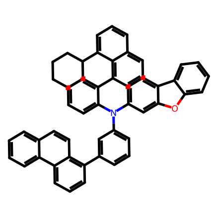 c1cc(-c2cccc3c2ccc2ccccc23)cc(N(c2ccc3c(c2)oc2ccccc23)c2ccccc2-c2cccc3cccc(C4CCCCC4)c23)c1